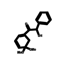 COC1(OC)C=CC=C(C(=O)C(O)c2ccccc2)C1